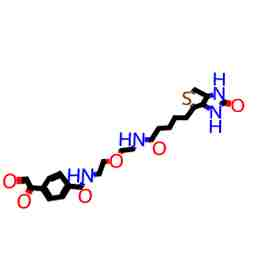 O=CC(=O)c1ccc(C(=O)NCCOCCNC(=O)CCCCC2SCC3NC(=O)NC32)cc1